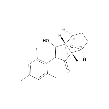 Cc1cc(C)c(C2=C(O)[C@@H]3[C@H]4CC[C@H](O4)[C@]3(C)C2=O)c(C)c1